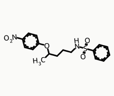 CC(CCCNS(=O)(=O)c1ccccc1)Oc1ccc([N+](=O)[O-])cc1